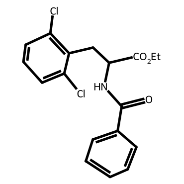 CCOC(=O)C(Cc1c(Cl)cccc1Cl)NC(=O)c1ccccc1